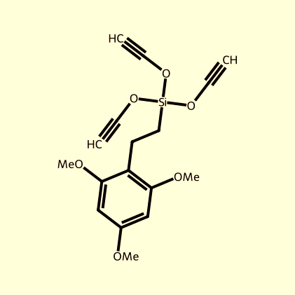 C#CO[Si](CCc1c(OC)cc(OC)cc1OC)(OC#C)OC#C